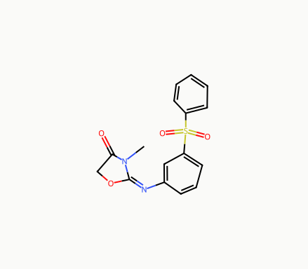 CN1C(=O)COC1=Nc1cccc(S(=O)(=O)c2ccccc2)c1